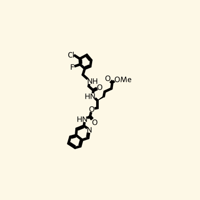 COC(=O)CCC[C@@H](COC(=O)Nc1cc2ccccc2cn1)NC(=O)CNCc1cccc(Cl)c1F